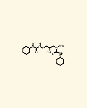 CC(C)(C)N(CC(O)CONC(=O)NC1CCCCC1)C(=O)NC1CCCCC1